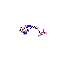 CC[C@@H]1[C@H](F)C(=O)N[C@@H]1COc1ncc(C#C[C@H]2CC[C@H](CN3CCC(OCCCc4ccc5c(c4)n(C)c(=O)n5C4CCC(=O)NC4=O)CC3)CC2)c2cc(C(N)=O)c(OC)cc12